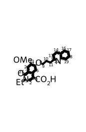 CCn1cc(C(=O)O)c2cc(OCCCc3ccc4ccccc4n3)c(OC)cc2c1=O